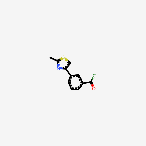 Cc1nc(-c2cccc(C(=O)Cl)c2)cs1